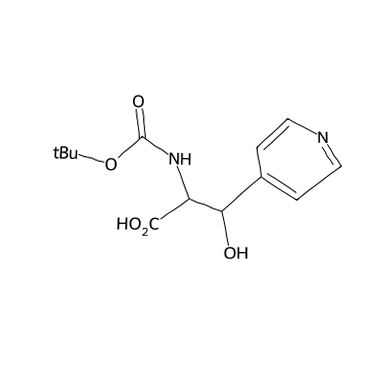 CC(C)(C)OC(=O)NC(C(=O)O)C(O)c1ccncc1